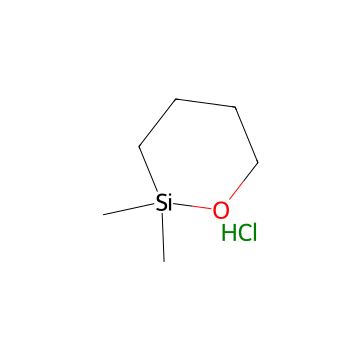 C[Si]1(C)CCCCO1.Cl